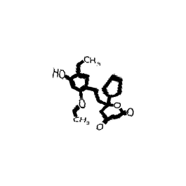 CCOc1cc(O)c(CC)cc1CCC1(C2CCCC2)CC(=O)CC(=O)O1